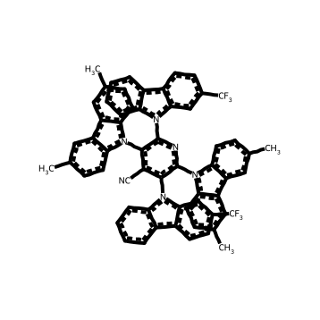 Cc1ccc2c(c1)c1cc(C)ccc1n2-c1nc(-n2c3ccccc3c3ccc(C(F)(F)F)cc32)c(-n2c3ccc(C)cc3c3cc(C)ccc32)c(C#N)c1-n1c2ccccc2c2ccc(C(F)(F)F)cc21